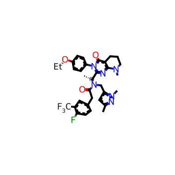 CCOc1ccc(-n2c([C@@H](C)N(Cc3cc(C)nn3C)C(=O)Cc3ccc(F)c(C(F)(F)F)c3)nc3c(c2=O)CCCN3C)cc1